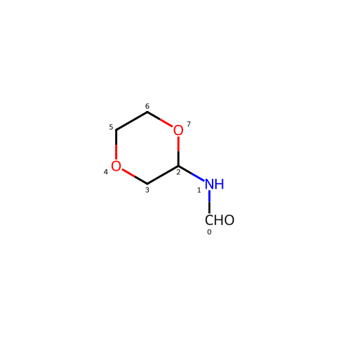 O=CNC1COCCO1